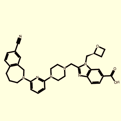 N#Cc1ccc2c(c1)CN(c1cccc(N3CCN(Cc4nc5ccc(C(=O)O)cc5n4C[C@@H]4CCO4)CC3)n1)CCC2